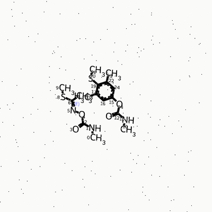 CNC(=O)O/N=C(\C)SC.CNC(=O)Oc1cc(C)c(SC)c(C)c1